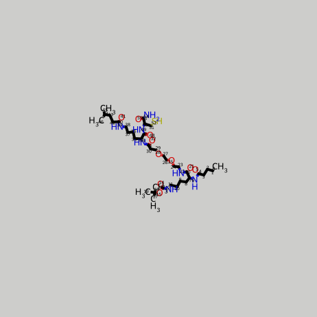 CCCCC(=O)NC(CCCCNC(=O)OC(C)(C)C)C(=O)NCCOCCOCCC(=O)NC(CCCCNC(=O)CCC(C)C)C(=O)NC(CS)C(N)=O